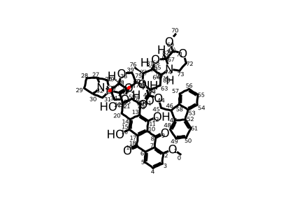 COc1cccc2c1C(=O)c1c(O)c3c(c(O)c1C2=O)C[C@@](O)(C(=O)N1CC2CCC(C1)N2[C@H]1CO[C@H]2[C@@H]1OC[C@@H]2NC(=O)OCC1c2ccccc2-c2ccccc21)C[C@@H]3O[C@H]1C[C@H]2[C@H](O[C@@H]3[C@@H](OC)OCCN32)[C@H](C)O1